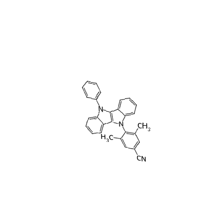 Cc1cc(C#N)cc(C)c1-n1c2ccccc2c2c1c1ccccc1n2-c1ccccc1